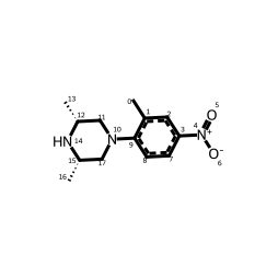 Cc1cc([N+](=O)[O-])ccc1N1C[C@@H](C)N[C@@H](C)C1